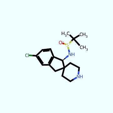 CC(C)(C)[S+]([O-])N[C@@H]1c2ccc(Cl)cc2CC12CCNCC2